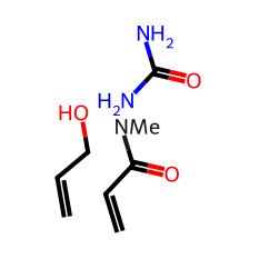 C=CC(=O)NC.C=CCO.NC(N)=O